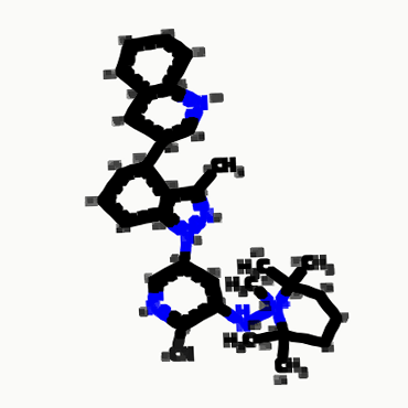 Cc1nn(-c2cnc(C#N)c(N[N+]3(C)C(C)(C)CCCC3(C)C)c2)c2cccc(-c3cnc4ccccc4c3)c12